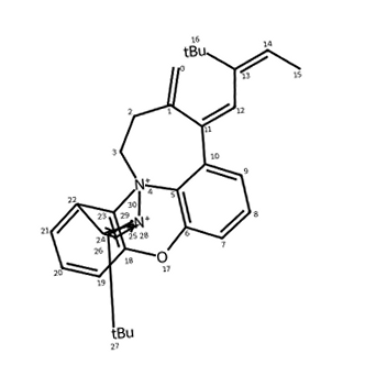 C=C1CC[N+]23c4c(cccc4/C1=C/C(=C\C)C(C)(C)C)Oc1cccc(c12)-c1cc(C(C)(C)C)cc[n+]13